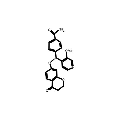 COc1cnccc1[C@@H](Oc1ccc2c(c1)OCCC2=O)c1ccc(C(N)=O)cc1